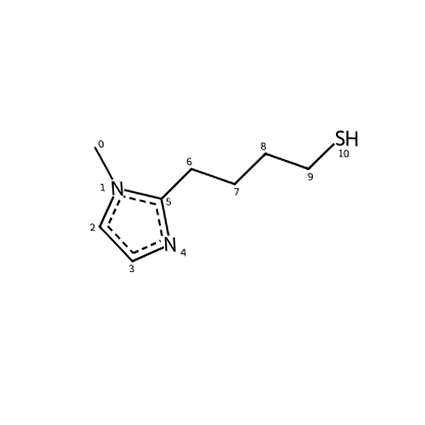 Cn1ccnc1CCCCS